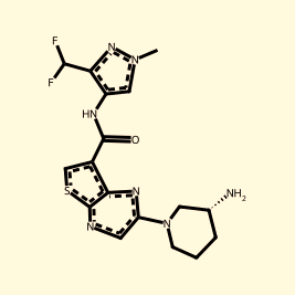 Cn1cc(NC(=O)c2csc3ncc(N4CCC[C@@H](N)C4)nc23)c(C(F)F)n1